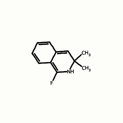 CC1(C)C=c2ccccc2=C(F)N1